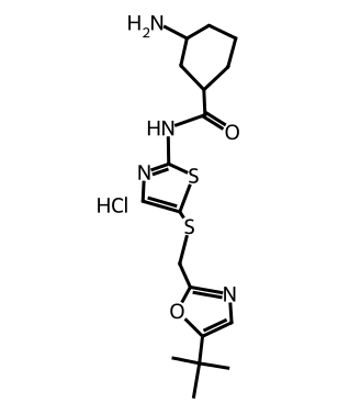 CC(C)(C)c1cnc(CSc2cnc(NC(=O)C3CCCC(N)C3)s2)o1.Cl